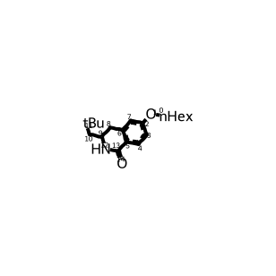 CCCCCCOc1ccc2c(c1)CC(CC(C)(C)C)NC2=O